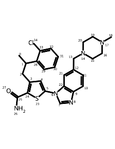 CC(Cc1cc(-n2cnc3ccc(CN4CCN(C)CC4)cc32)sc1C(N)=O)c1ccccc1Cl